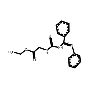 CCOC(=O)CNC(=S)N/C(=N\c1ccccc1)c1ccccc1